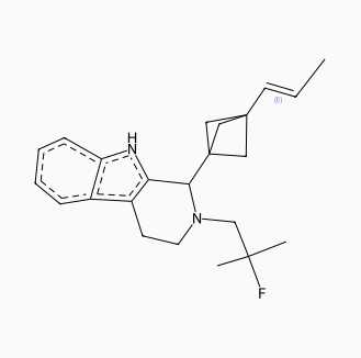 C/C=C/C12CC(C3c4[nH]c5ccccc5c4CCN3CC(C)(C)F)(C1)C2